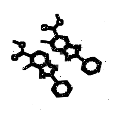 COC(=O)c1cc2nc(-c3ccccc3)nn2cc1C.COC(=O)c1ccn2nc(-c3ccccc3)nc2c1C